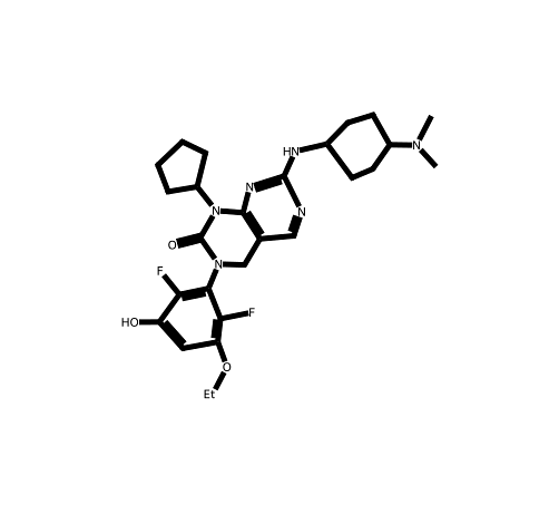 CCOc1cc(O)c(F)c(N2Cc3cnc(NC4CCC(N(C)C)CC4)nc3N(C3CCCC3)C2=O)c1F